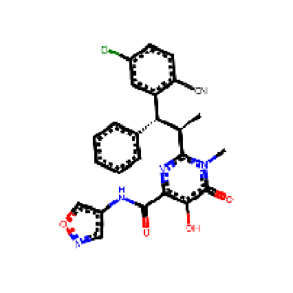 C[C@@H](c1nc(C(=O)Nc2cnoc2)c(O)c(=O)n1C)[C@H](c1ccccc1)c1cc(Cl)ccc1C#N